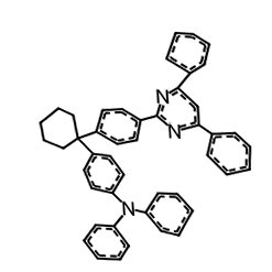 c1ccc(-c2cc(-c3ccccc3)nc(-c3ccc(C4(c5ccc(N(c6ccccc6)c6ccccc6)cc5)CCCCC4)cc3)n2)cc1